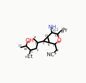 CCC(CC(C)C1C2C(CC#N)OC(C(C)C)C(N)C12)C(C)O